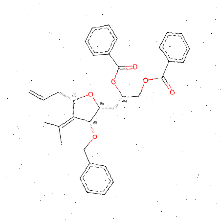 C=CC[C@@H]1O[C@H](C[C@@H](COC(=O)c2ccccc2)OC(=O)c2ccccc2)[C@H](OCc2ccccc2)C1=C(C)C